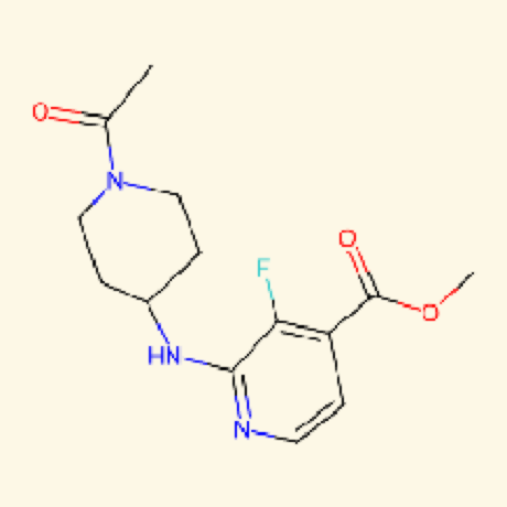 COC(=O)c1ccnc(NC2CCN(C(C)=O)CC2)c1F